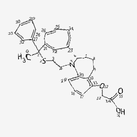 CC(SCCN1CCCCc2c(OCC(=O)O)cccc21)(c1ccccc1)c1ccccc1